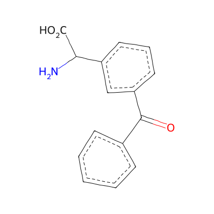 NC(C(=O)O)c1cccc(C(=O)c2ccccc2)c1